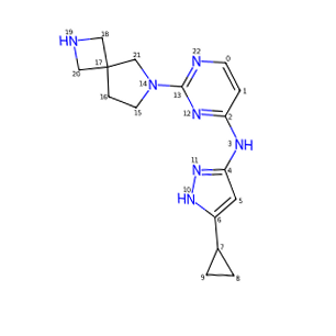 c1cc(Nc2cc(C3CC3)[nH]n2)nc(N2CCC3(CNC3)C2)n1